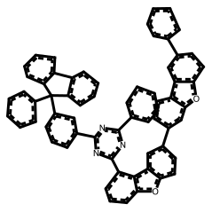 c1ccc(-c2ccc3oc4cc(-c5ccc6oc7cccc(-c8nc(-c9ccccc9)nc(-c9cccc(C%10(c%11ccccc%11)c%11ccccc%11-c%11ccccc%11%10)c9)n8)c7c6c5)ccc4c3c2)cc1